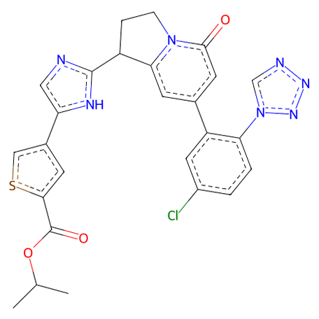 CC(C)OC(=O)c1cc(-c2cnc(C3CCn4c3cc(-c3cc(Cl)ccc3-n3cnnn3)cc4=O)[nH]2)cs1